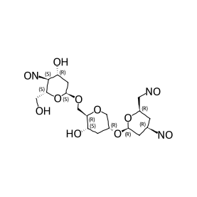 O=NC[C@H]1C[C@@H](N=O)C[C@@H](O[C@H]2CO[C@H](CO[C@@H]3C[C@@H](O)[C@H](N=O)[C@@H](CO)O3)[C@@H](O)C2)O1